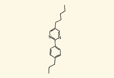 CCCCCc1cnc(-c2ccc(CCC)cc2)nc1